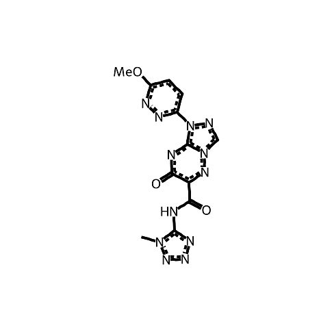 COc1ccc(-n2ncn3nc(C(=O)Nc4nnnn4C)c(=O)nc23)nn1